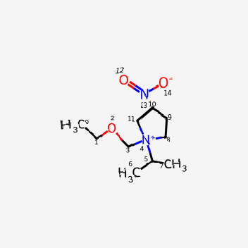 CCOC[N+]1(C(C)C)CCCC1.O=N[O-]